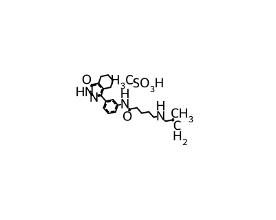 C=C(C)CNCCCCC(=O)Nc1cccc(-c2n[nH]c(=O)c3c2CCCC3)c1.CS(=O)(=O)O